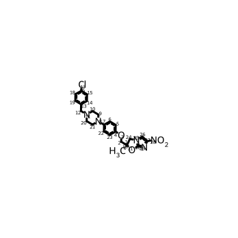 C[C@@]1(COc2ccc(N3CCN(Cc4ccc(Cl)cc4)CC3)cc2)Cn2cc([N+](=O)[O-])nc2O1